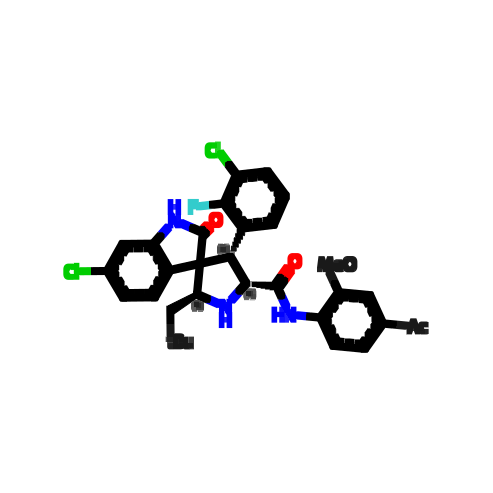 COc1cc(C(C)=O)ccc1NC(=O)[C@@H]1N[C@@H](CC(C)(C)C)C2(C(=O)Nc3cc(Cl)ccc32)[C@@H]1c1cccc(Cl)c1F